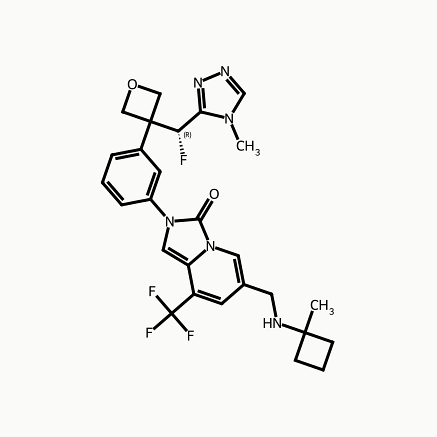 Cn1cnnc1[C@H](F)C1(c2cccc(-n3cc4c(C(F)(F)F)cc(CNC5(C)CCC5)cn4c3=O)c2)COC1